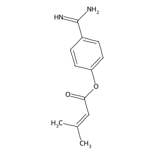 CC(C)=CC(=O)Oc1ccc(C(=N)N)cc1